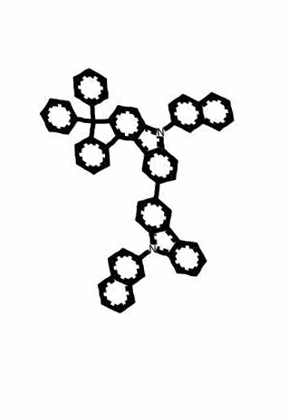 c1ccc(C2(c3ccccc3)c3ccccc3-c3c2ccc2c3c3cc(-c4ccc5c(c4)c4ccccc4n5-c4ccc5ccccc5c4)ccc3n2-c2ccc3ccccc3c2)cc1